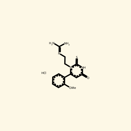 COc1ccccc1-c1cc(=O)[nH]c(=S)n1CCN=C(N)N.Cl